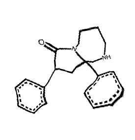 O=C1C(c2ccccc2)CC2(c3ccccc3)NCCCN12